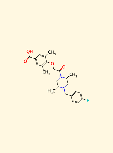 Cc1cc(C(=O)O)cc(C)c1OCC(=O)N1C[C@@H](C)N(Cc2ccc(F)cc2)C[C@@H]1C